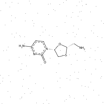 NC[C@H]1O[C@@H](n2ccc(N)nc2=O)CS1